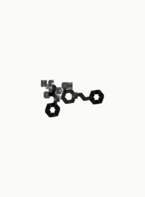 CCC(=O)N(c1ccccc1)[C@H]1CCN(CCc2ccccc2)C[C@]1(C)O